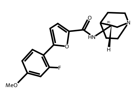 COc1ccc(-c2ccc(C(=O)N[C@H]3CN4CCC3CC4)o2)c(F)c1